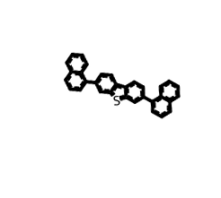 c1ccc2c(-c3ccc4c(c3)sc3cc(-c5cccc6ccccc56)ccc34)cccc2c1